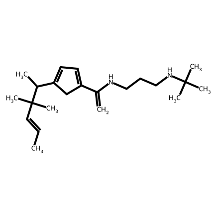 C=C(NCCCNC(C)(C)C)C1=CC=C(C(C)C(C)(C)C=CC)C1